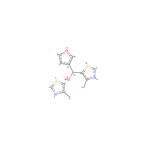 Cc1cscn1.Cc1ncsc1C(O)c1ccoc1